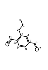 CCCc1cc(C=O)ccc1C=O